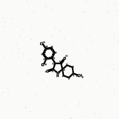 CC1CCC2(CC1)NC(=O)C(c1ccc(Cl)cc1Cl)C2=O